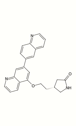 O=C1C[C@@H](CCOc2cc(-c3ccc4ncccc4c3)cc3ncccc23)CN1